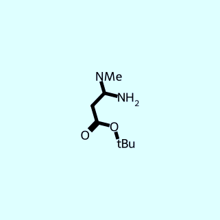 CNC(N)CC(=O)OC(C)(C)C